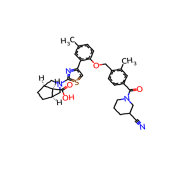 Cc1ccc(OCc2ccc(C(=O)N3CCCC(C#N)C3)cc2C)c(-c2csc(N3C[C@H]4CC[C@@H](C3)[C@H]4C(=O)O)n2)c1